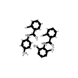 CCc1cccc(CC)c1NC(=O)c1ccccc1I.Cc1ccc(NC(=O)c2ccccc2I)cc1